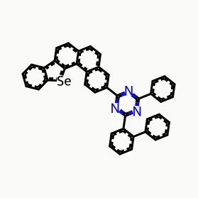 c1ccc(-c2nc(-c3ccc4c(ccc5ccc6c7ccccc7[se]c6c54)c3)nc(-c3ccccc3-c3ccccc3)n2)cc1